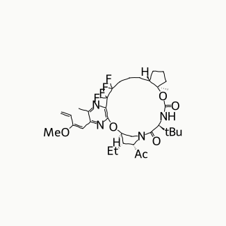 C=C/C(=C\c1nc2c(nc1C)C(F)(F)C(F)(F)CCC[C@@H]1CCC[C@@]1(C)OC(=O)N[C@@H](C(C)(C)C)C(=O)N1C[C@H](O2)[C@@H](CC)[C@H]1C(C)=O)OC